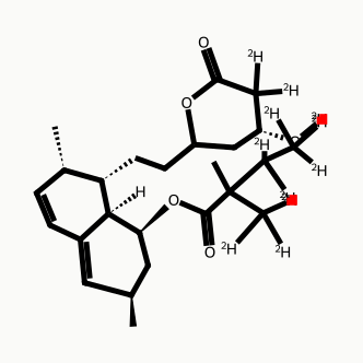 [2H]O[C@@H]1CC(CC[C@@H]2[C@@H]3C(=C[C@H](C)C[C@@H]3OC(=O)C(C)(C([2H])([2H])[2H])C([2H])([2H])C([2H])([2H])[2H])C=C[C@@H]2C)OC(=O)C1([2H])[2H]